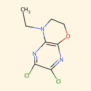 CCN1CCOc2nc(Cl)c(Cl)nc21